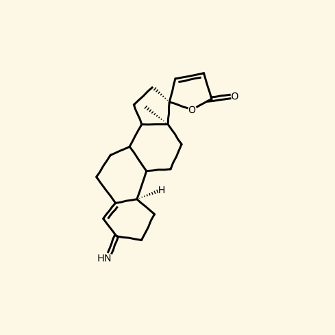 C[C@]12CCC3C(CCC4=CC(=N)CC[C@@H]43)C1CC[C@@]21C=CC(=O)O1